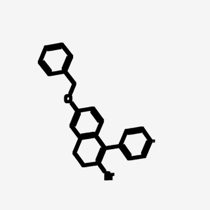 BrC1=C(c2cc[c]cc2)c2ccc(OCc3ccccc3)cc2CC1